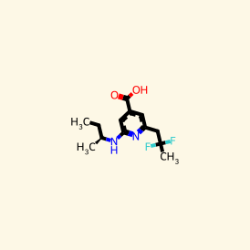 CC[C@H](C)Nc1cc(C(=O)O)cc(CC(C)(F)F)n1